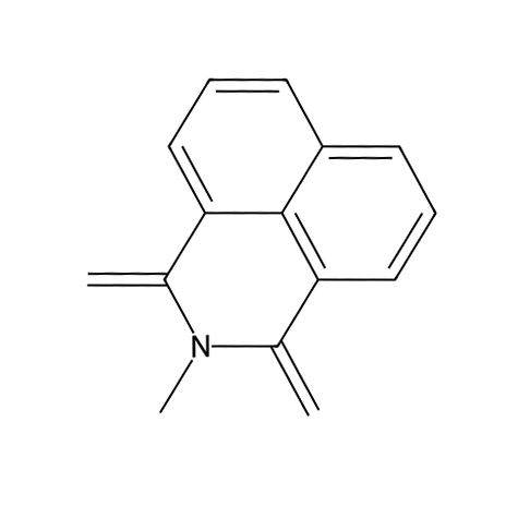 C=C1c2cccc3cccc(c23)C(=C)N1C